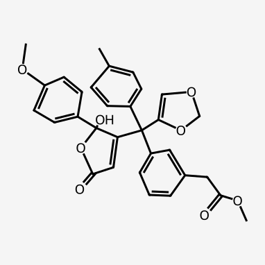 COC(=O)Cc1cccc(C(C2=COCO2)(C2=CC(=O)OC2(O)c2ccc(OC)cc2)c2ccc(C)cc2)c1